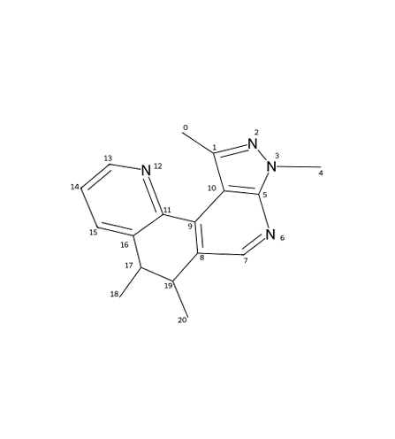 Cc1nn(C)c2ncc3c(c12)-c1ncccc1C(C)C3C